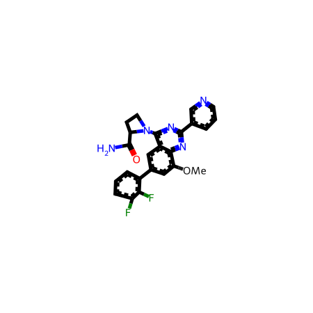 COc1cc(-c2cccc(F)c2F)cc2c(N3CCC3C(N)=O)nc(-c3cccnc3)nc12